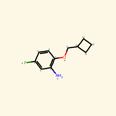 Nc1cc(F)ccc1OCC1CCC1